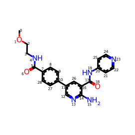 COCCNC(=O)c1ccc(-c2cnc(N)c(C(=O)Nc3ccncc3)c2)cc1